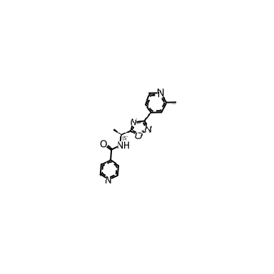 Cc1cc(-c2noc([C@H](C)NC(=O)c3ccncc3)n2)ccn1